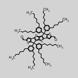 CCCCCCc1cc(CCCCCC)cc(C2(c3cc(CCCCCC)cc(CCCCCC)c3)c3sc(C=O)cc3-c3sc4c5c(sc4c32)-c2cc(C=O)sc2C5(c2cc(CCCCCC)cc(CCCCCC)c2)c2cc(CCCCCC)cc(CCCCCC)c2)c1